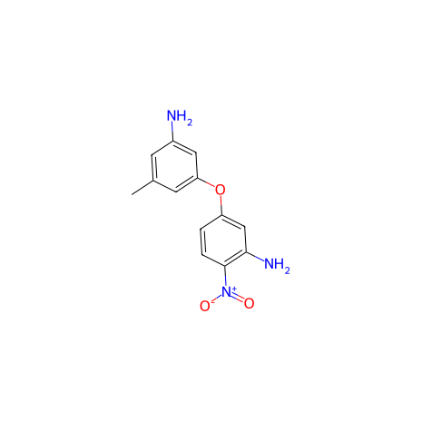 Cc1cc(N)cc(Oc2ccc([N+](=O)[O-])c(N)c2)c1